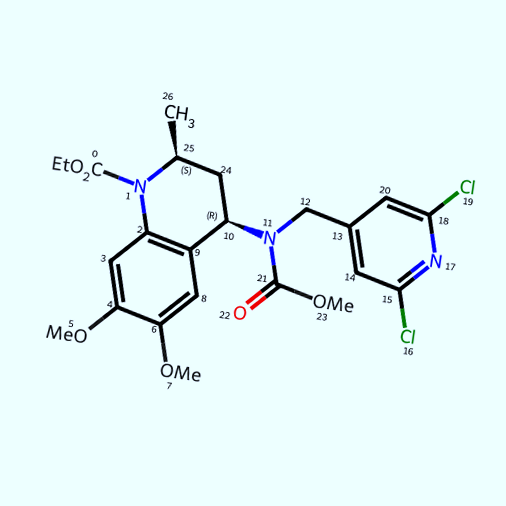 CCOC(=O)N1c2cc(OC)c(OC)cc2[C@H](N(Cc2cc(Cl)nc(Cl)c2)C(=O)OC)C[C@@H]1C